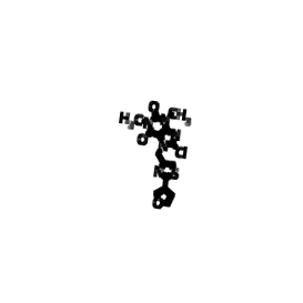 Cn1c(=O)c2c(nc(Cl)n2Cc2csc(-c3ccoc3)n2)n(C)c1=O